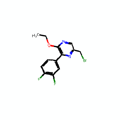 CCOc1ncc(CBr)nc1-c1ccc(F)c(F)c1